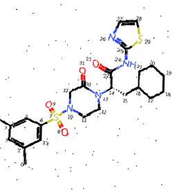 Cc1cc(C)cc(S(=O)(=O)N2CCN([C@@H](CC3CCCCC3)C(=O)Nc3nccs3)C(=O)C2)c1